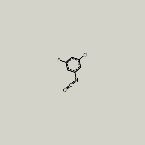 O=C=Nc1cc(F)cc(Cl)c1